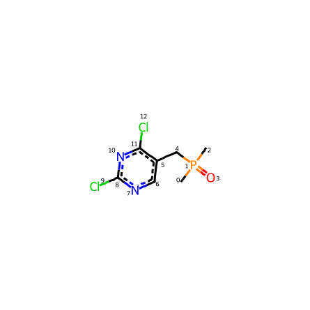 CP(C)(=O)Cc1cnc(Cl)nc1Cl